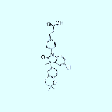 CC1(C)CCc2cc([C@]3(C)C(=O)N(c4ccc(CCC(=O)O)cc4)c4ccc(Cl)cc43)ccc2O1